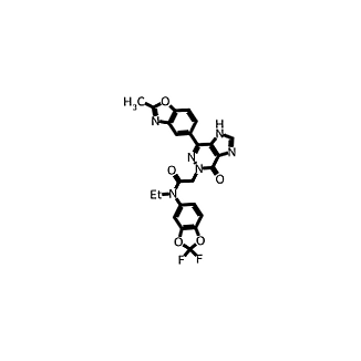 CCN(C(=O)Cn1nc(-c2ccc3oc(C)nc3c2)c2[nH]cnc2c1=O)c1ccc2c(c1)OC(F)(F)O2